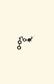 C[C@H](O)c1cn([C@H]2CC[C@@H](N(C)C(=O)c3ccc(-c4ccccc4)cc3)C2)nn1